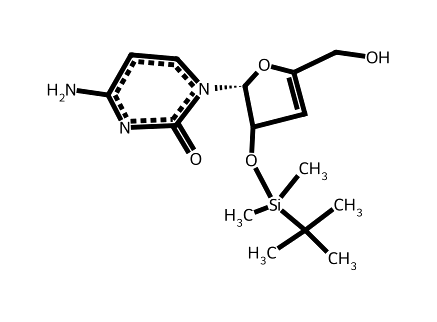 CC(C)(C)[Si](C)(C)OC1C=C(CO)O[C@H]1n1ccc(N)nc1=O